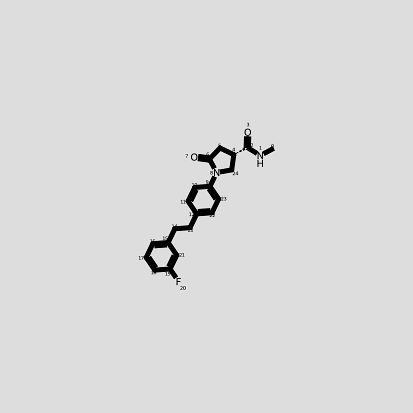 CNC(=O)[C@H]1CC(=O)N(c2ccc(CCc3cccc(F)c3)cc2)C1